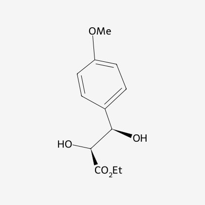 CCOC(=O)[C@@H](O)[C@H](O)c1ccc(OC)cc1